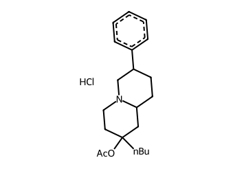 CCCCC1(OC(C)=O)CCN2CC(c3ccccc3)CCC2C1.Cl